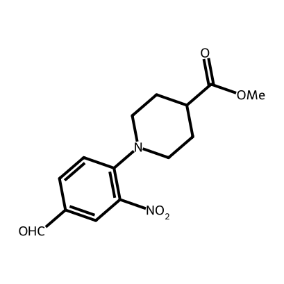 COC(=O)C1CCN(c2ccc(C=O)cc2[N+](=O)[O-])CC1